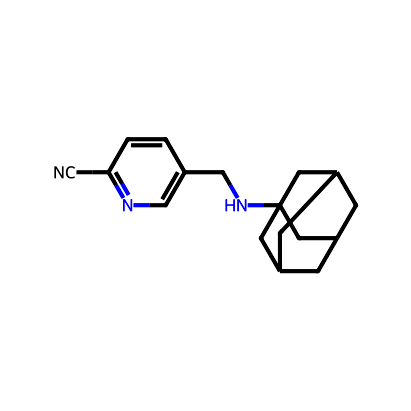 N#Cc1ccc(CNC23CC4CC(CC(C4)C2)C3)cn1